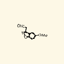 COc1ccc2onc(CC=O)c2c1